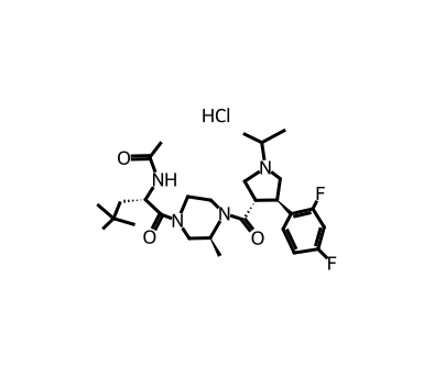 CC(=O)N[C@@H](CC(C)(C)C)C(=O)N1CCN(C(=O)[C@@H]2CN(C(C)C)C[C@H]2c2ccc(F)cc2F)[C@@H](C)C1.Cl